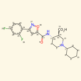 O=C(N[C@H]1CCN(C2CCCCC2)C[C@@H]1C(=O)O)c1cc(-c2ccc(F)cc2F)no1